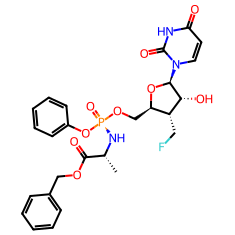 C[C@@H](N[P@@](=O)(OC[C@H]1O[C@@H](n2ccc(=O)[nH]c2=O)[C@H](O)[C@@H]1CF)Oc1ccccc1)C(=O)OCc1ccccc1